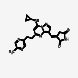 Cc1cnc(CCc2cc(NC3CC3)n3ncc(/C=C4\CC(=O)NC4=O)c3n2)cn1